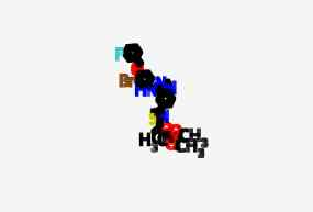 CCC(OC(C)S(=O)(=O)C(C)C)c1nc(-c2ccc3ncnc(Nc4ccc(OCc5cccc(F)c5)c(Br)c4)c3c2)cs1